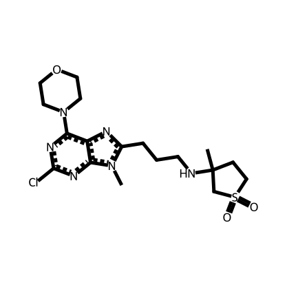 Cn1c(CCCNC2(C)CCS(=O)(=O)C2)nc2c(N3CCOCC3)nc(Cl)nc21